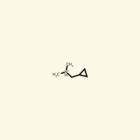 [CH2-][NH+](C)CC1CC1